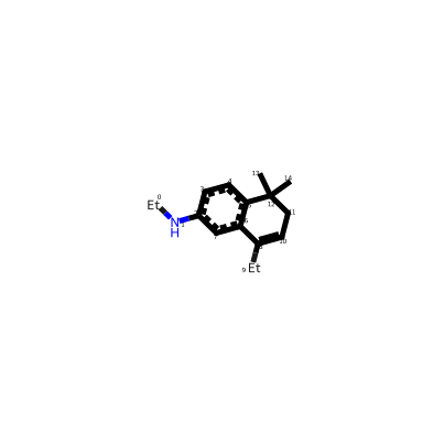 CCNc1ccc2c(c1)C(CC)=CCC2(C)C